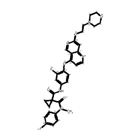 CN(C(=O)C1(C(=O)Nc2ccc(Oc3ccnc4cc(OCCN5CCOCC5)ncc34)c(F)c2)CC1)c1ccc(F)cc1